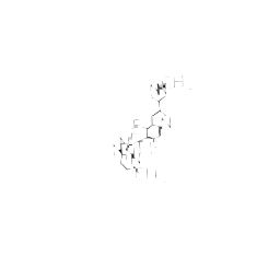 Cc1ccc2nnc(C(F)(F)c3c(F)cc4ncc(-c5cnn(C)c5)cc4c3F)n2n1